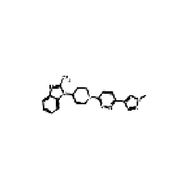 Cn1cc(-c2ccc(N3CCC(n4c(C(F)(F)F)nc5ccccc54)CC3)nn2)cn1